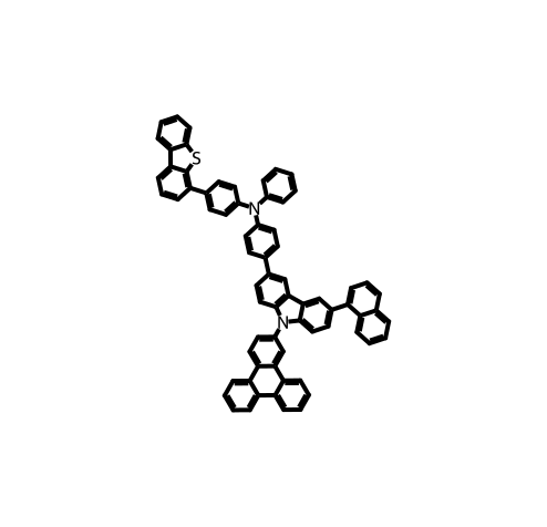 c1ccc(N(c2ccc(-c3ccc4c(c3)c3cc(-c5cccc6ccccc56)ccc3n4-c3ccc4c5ccccc5c5ccccc5c4c3)cc2)c2ccc(-c3cccc4c3sc3ccccc34)cc2)cc1